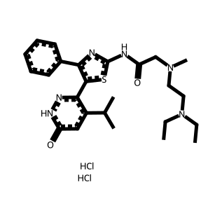 CCN(CC)CCN(C)CC(=O)Nc1nc(-c2ccccc2)c(-c2n[nH]c(=O)cc2C(C)C)s1.Cl.Cl